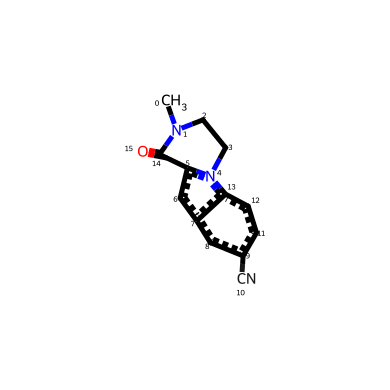 CN1CCn2c(cc3cc(C#N)ccc32)C1=O